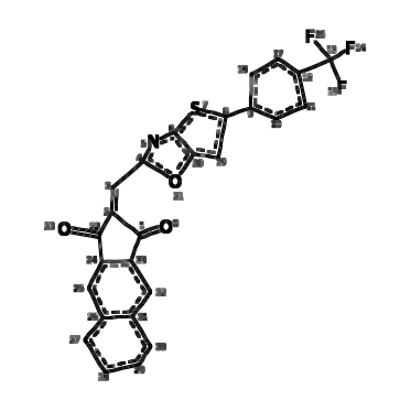 O=C1C(=Cc2nc3sc(-c4ccc(C(F)(F)F)cc4)cc3o2)C(=O)c2cc3ccccc3cc21